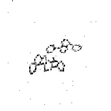 c1cc(-c2ccc3c4c(cccc24)-c2ccccc2-3)cc(-n2c3ccc4ccccc4c3c3ccc4c5ccccc5sc4c32)c1